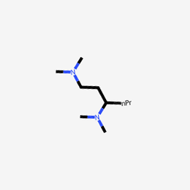 CCCC(CCN(C)C)N(C)C